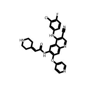 N#Cc1cnc2cc(Oc3ccncc3)c(NC(=O)C=C3CCNCC3)cc2c1Nc1ccc(F)c(Cl)c1